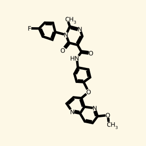 COc1ccc2nccc(Oc3ccc(NC(=O)c4cnc(C)n(-c5ccc(F)cc5)c4=O)cc3)c2n1